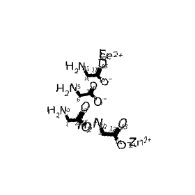 NCC(=O)[O-].NCC(=O)[O-].NCC(=O)[O-].NCC(=O)[O-].[Fe+2].[Zn+2]